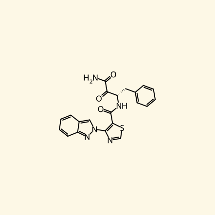 NC(=O)C(=O)[C@H](Cc1ccccc1)NC(=O)c1scnc1-n1cc2ccccc2n1